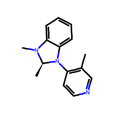 Cc1cnccc1N1c2ccccc2N(C)[C@@H]1C